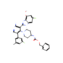 COc1cc(F)cc2[nH]c(-c3c(N)ncc(-c4cc(C)cc(F)c4)c3N3CCC(NC(=O)OCc4ccccc4)CC3)nc12